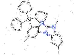 Cc1cc([Si](c2ccccc2)(c2ccccc2)c2ccccc2)c2nc3n(C)c4ccc(C)cc4n3c2c1